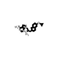 CC(Cc1ccc2cc(OC3CC3)ccc2c1)Cn1ncc2c(N)ncnc21